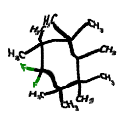 CC1C(C)(C)C(C)(C)C(F)(F)C(C)(C)C1(C)C